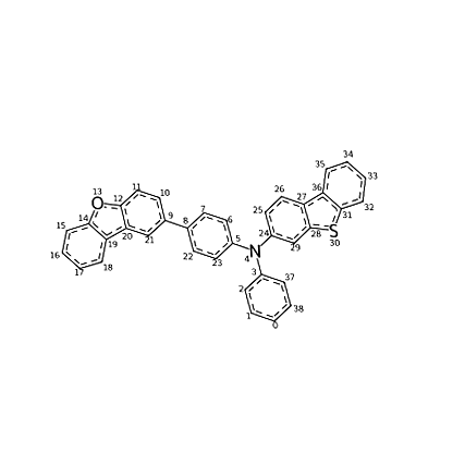 c1ccc(N(c2ccc(-c3ccc4oc5ccccc5c4c3)cc2)c2ccc3c(c2)sc2ccccc23)cc1